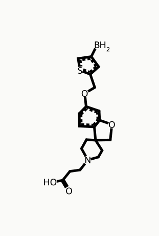 Bc1csc(COc2ccc3c(c2)OCC32CCN(CCC(=O)O)CC2)c1